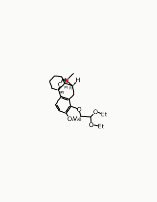 CCOC(COc1c(OC)ccc2c1C[C@@H]1[C@@H]3CCCC[C@]23CCN1C)OCC